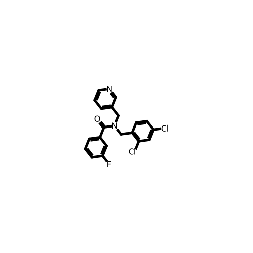 O=C(c1cccc(F)c1)N(Cc1cccnc1)Cc1ccc(Cl)cc1Cl